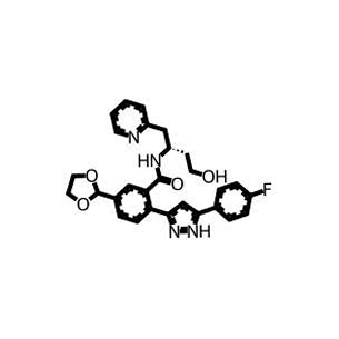 O=C(N[C@@H](CCO)Cc1ccccn1)c1cc(C2OCCO2)ccc1-c1cc(-c2ccc(F)cc2)[nH]n1